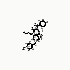 CCCCN1C(=O)[C@@H]([C@H](O)C2CCCCC2)NC(=O)C12CCN(Cc1cc[n+]([O-])cc1)CC2.Cl